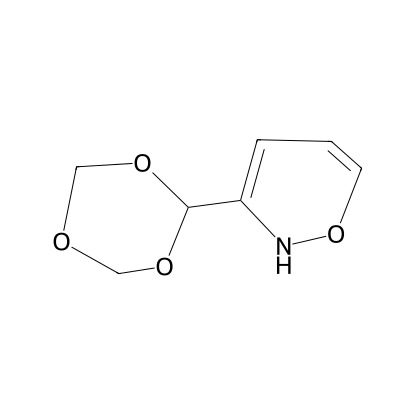 C1=CONC(C2OCOCO2)=C1